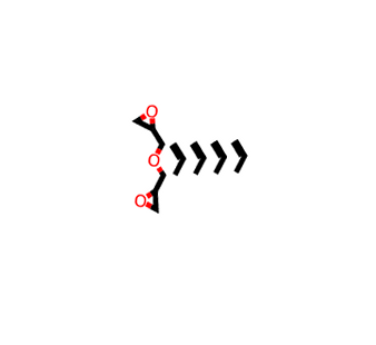 C(OCC1CO1)C1CO1.C=CC.C=CC.C=CC.C=CC